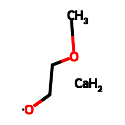 COCC[O].[CaH2]